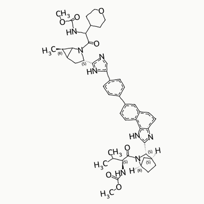 COC(=O)NC(C(=O)N1C2C(C[C@H]1c1ncc(-c3ccc(-c4ccc5c(ccc6nc([C@@H]7[C@H]8CC[C@H](C8)N7C(=O)[C@@H](NC(=O)OC)C(C)C)[nH]c65)c4)cc3)[nH]1)[C@H]2C)C1CCOCC1